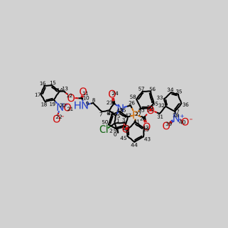 CC(Cl)(C=O)C1C(CCNC(=O)OCc2ccccc2[N+](=O)[O-])C(=O)N1CP(C(=O)OCc1ccccc1[N+](=O)[O-])(c1ccccc1)(c1ccccc1)c1ccccc1